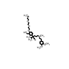 COCCOCCOCCOc1ccc(C(C#N)(CCCN(C)CCc2ccc(OC)c(OC)c2)C(C)C)cc1CO